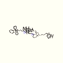 CC(C)(O)CCCCC1CCC2/C(=C/CN(N)/C=C(\N)CCCCN3C(=O)c4ccccc4C3=O)CCCC12C